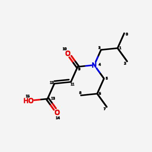 CC(C)CN(CC(C)C)C(=O)/C=C/C(=O)O